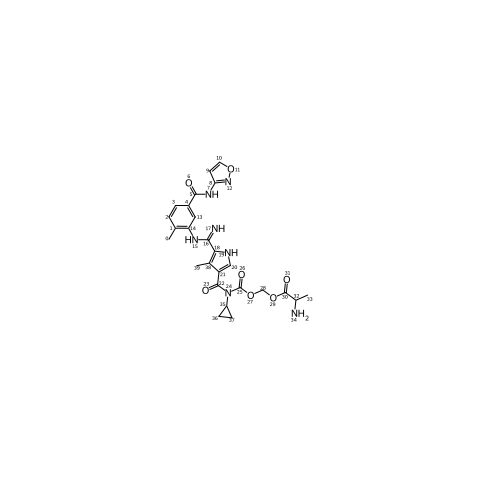 Cc1ccc(C(=O)Nc2ccon2)cc1NC(=N)c1[nH]cc(C(=O)N(C(=O)OCOC(=O)C(C)N)C2CC2)c1C